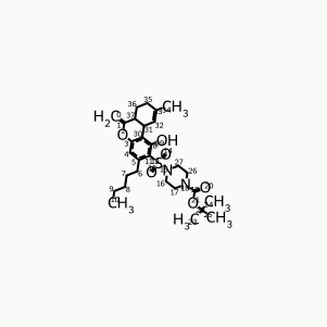 C=C1Oc2cc(CCCCC)c(S(=O)(=O)N3CCN(C(=O)OC(C)(C)C)CC3)c(O)c2C2C=C(C)CCC12